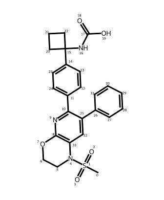 CS(=O)(=O)N1CCOc2nc(-c3ccc(C4(NC(=O)O)CCC4)cc3)c(-c3ccccc3)cc21